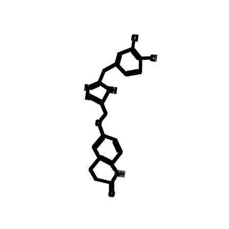 O=C1CCc2cc(OCc3nnc(Cc4ccc(Cl)c(Cl)c4)[nH]3)ccc2N1